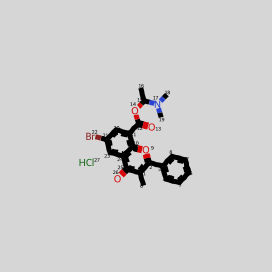 Cc1c(-c2ccccc2)oc2c(C(=O)OC(C)N(C)C)cc(Br)cc2c1=O.Cl